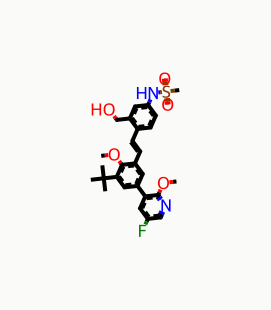 COc1ncc(F)cc1-c1cc(/C=C/c2ccc(NS(C)(=O)=O)cc2CO)c(OC)c(C(C)(C)C)c1